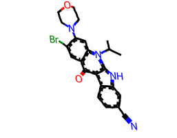 CC(C)n1c2cc(N3CCOCC3)c(Br)cc2c(=O)c2c3ccc(C#N)cc3[nH]c21